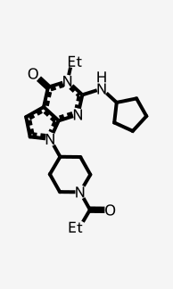 CCC(=O)N1CCC(n2ccc3c(=O)n(CC)c(NC4CCCC4)nc32)CC1